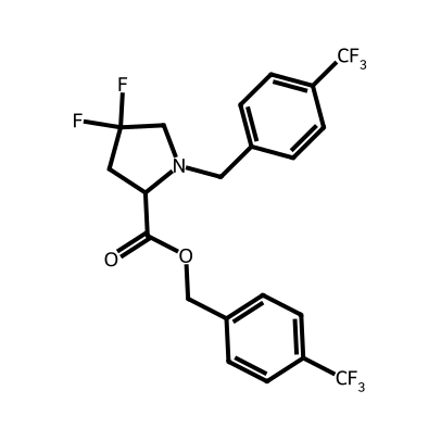 O=C(OCc1ccc(C(F)(F)F)cc1)C1CC(F)(F)CN1Cc1ccc(C(F)(F)F)cc1